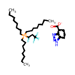 CCCCCCCC[P+](CCCCCCCC)(CCCCCCCC)C(F)CC(F)(F)F.O=C([O-])c1cccc2[nH]nnc12